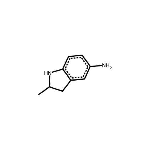 CC1Cc2cc(N)ccc2N1